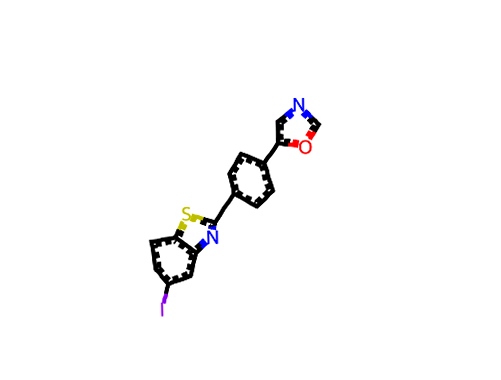 Ic1ccc2sc(-c3ccc(-c4cnco4)cc3)nc2c1